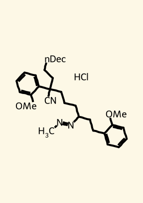 CCCCCCCCCCCCC(C#N)(CCCC(CCc1ccccc1OC)N=NC)c1ccccc1OC.Cl